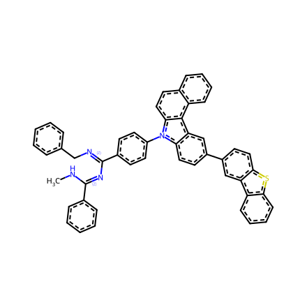 CN/C(=N\C(=N/Cc1ccccc1)c1ccc(-n2c3ccc(-c4ccc5sc6ccccc6c5c4)cc3c3c4ccccc4ccc32)cc1)c1ccccc1